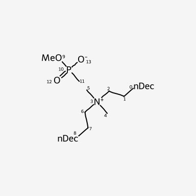 CCCCCCCCCCCC[N+](C)(C)CCCCCCCCCCCC.COP(C)(=O)[O-]